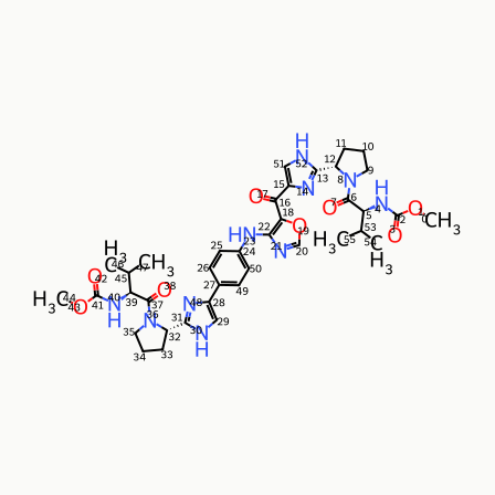 COC(=O)N[C@H](C(=O)N1CCC[C@H]1c1nc(C(=O)c2ocnc2Nc2ccc(-c3c[nH]c([C@@H]4CCCN4C(=O)[C@@H](NC(=O)OC)C(C)C)n3)cc2)c[nH]1)C(C)C